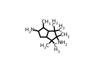 CC1C(N)CC2C1C(C)(C)C(C)(N)C2(C)C